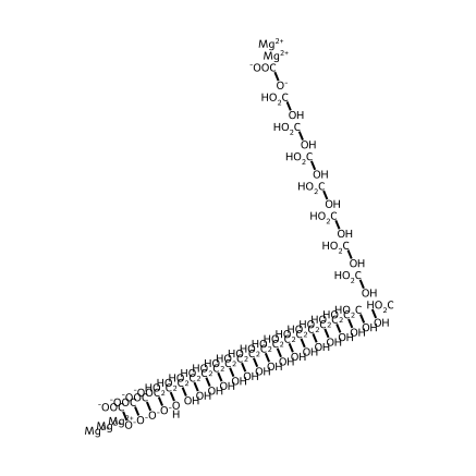 O=C(O)O.O=C(O)O.O=C(O)O.O=C(O)O.O=C(O)O.O=C(O)O.O=C(O)O.O=C(O)O.O=C(O)O.O=C(O)O.O=C(O)O.O=C(O)O.O=C(O)O.O=C(O)O.O=C(O)O.O=C(O)O.O=C(O)O.O=C(O)O.O=C(O)O.O=C(O)O.O=C(O)O.O=C(O)O.O=C(O)O.O=C(O)O.O=C(O)O.O=C([O-])[O-].O=C([O-])[O-].O=C([O-])[O-].O=C([O-])[O-].O=C([O-])[O-].[Mg+2].[Mg+2].[Mg+2].[Mg+2].[Mg+2]